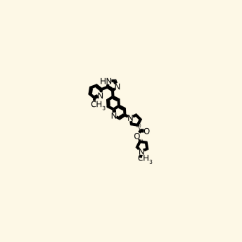 Cc1cccc(-c2[nH]cnc2-c2ccc3ncc(N4CC[C@H](C(=O)O[C@H]5CCN(C)C5)C4)cc3c2)n1